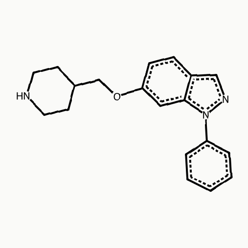 c1ccc(-n2ncc3ccc(OCC4CCNCC4)cc32)cc1